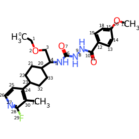 CCOCC(NC(=O)NNC(=O)c1ccc(OC)cc1)C1CCC(c2ccnc(F)c2C)CC1